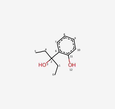 CCC(O)(CC)c1ccccc1O